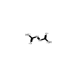 S=C(S)N=NC(=S)S